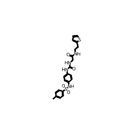 Cc1ccc(S(=O)(=O)Nc2ccc(NC(=O)NCC(=O)NCCc3cccs3)cc2)cc1